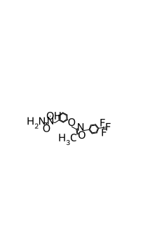 Cc1oc(-c2ccc(C(F)(F)F)cc2)nc1COc1cccc(CN(O)C(N)=O)c1